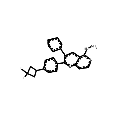 NNc1nccc2nc(-c3ccc([C]4CC(F)(F)C4)cc3)c(-c3ccccc3)cc12